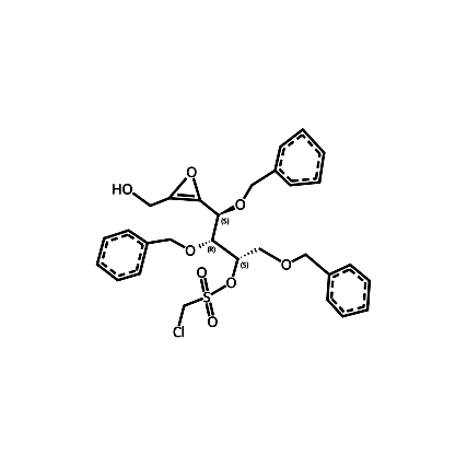 O=S(=O)(CCl)O[C@@H](COCc1ccccc1)[C@H](OCc1ccccc1)[C@H](OCc1ccccc1)C1=C(CO)O1